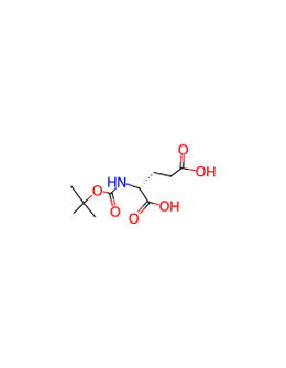 CC(C)(C)OC(=O)N[C@H](CCC(=O)O)C(=O)O